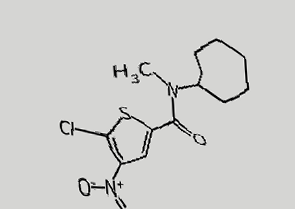 CN(C(=O)c1cc([N+](=O)[O-])c(Cl)s1)C1CCCCC1